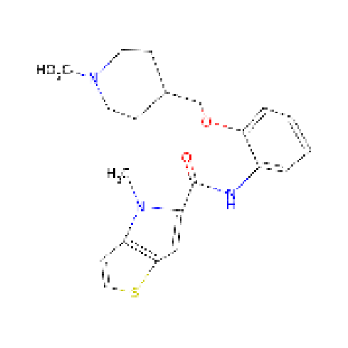 Cn1c(C(=O)Nc2ccccc2OCC2CCN(C(=O)O)CC2)cc2sccc21